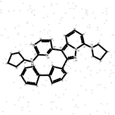 c1ccc(-c2cccc(-c3nn4c(N5CCCC5)cccc4c3-c3ccnc(NC4CCCC4)n3)c2)cc1